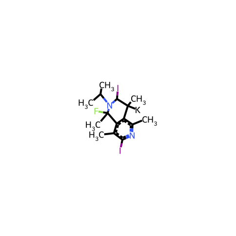 Cc1nc(I)c(C)c2c1[C](C)([K])C(I)N(C(C)C)C2(C)F